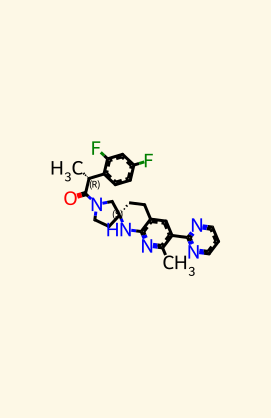 Cc1nc2c(cc1-c1ncccn1)CC[C@@]1(CCN(C(=O)[C@H](C)c3ccc(F)cc3F)C1)N2